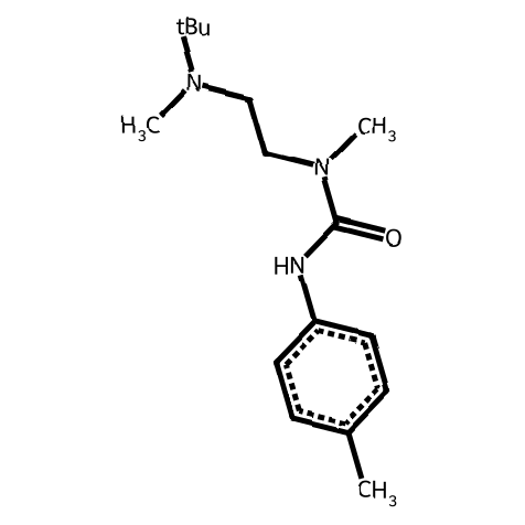 Cc1ccc(NC(=O)N(C)CCN(C)C(C)(C)C)cc1